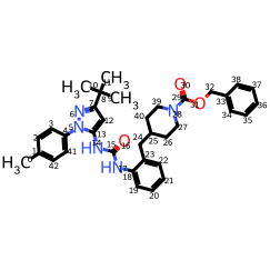 Cc1ccc(-n2nc(C(C)(C)C)cc2NC(=O)Nc2ccccc2CC2CCN(C(=O)OCc3ccccc3)CC2)cc1